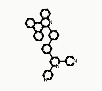 c1cc(-c2cccc(-c3nc4ccccc4c4c5ccccc5c5ccccc5c34)c2)cc(-c2cc(-c3ccncc3)nc(-c3ccncc3)c2)c1